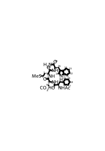 CSCC[C@@H](NC(=O)[C@@H](CC(=O)O)NC(=O)[C@@H](Cc1ccccc1)NC(C)=O)C(=O)N[C@H](Cc1c[nH]c2ccccc12)C(N)=O